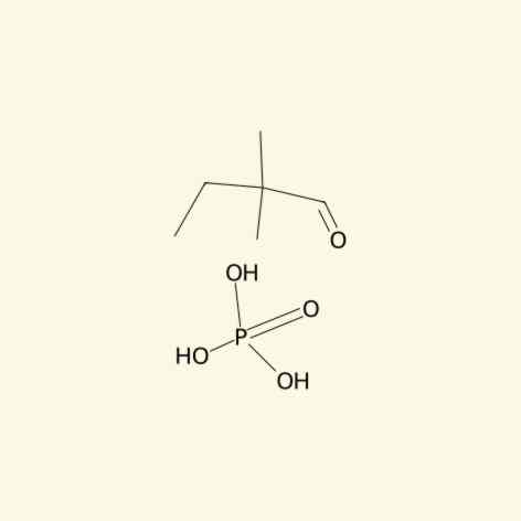 CCC(C)(C)C=O.O=P(O)(O)O